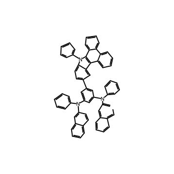 C=C(/C=c1/cccc/c1=C/C)N(c1ccccc1)c1cc(-c2ccc3c(c2)c2c4ccccc4c4ccccc4c2n3-c2ccccc2)cc(N(c2ccccc2)c2ccc3ccccc3c2)c1